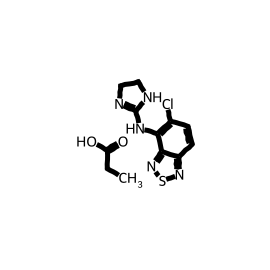 CCC(=O)O.Clc1ccc2nsnc2c1NC1=NCCN1